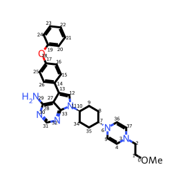 COCCN1C=CN([C@H]2CC[C@H](n3cc(-c4ccc(Oc5ccccc5)cc4)c4c(N)ncnc43)CC2)C=C1